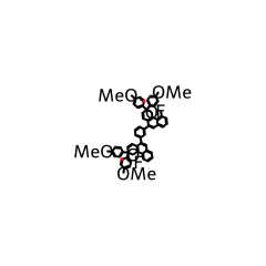 COc1ccc(C2(c3ccc(OC)cc3)C=Cc3c(-c4cccc(-c5cc6cccc(F)c6c6c5C=CC(c5ccc(OC)cc5)(c5ccc(OC)cc5)O6)c4)cc4cccc(F)c4c3O2)cc1